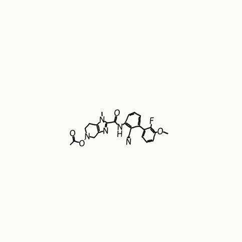 COc1cccc(-c2cccc(NC(=O)c3nc4c(n3C)CCN(OC(C)=O)C4)c2C#N)c1F